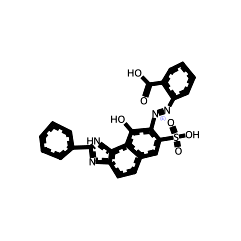 O=C(O)c1ccccc1/N=N/c1c(S(=O)(=O)O)cc2ccc3nc(-c4ccccc4)[nH]c3c2c1O